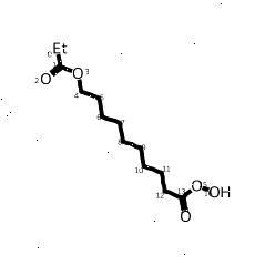 CCC(=O)OCCCCCCCCCC(=O)OO